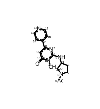 CC(=O)N1CCC(Nc2nc(-c3ccncc3)cc(=O)n2C)C1